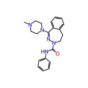 CN1CCN(C2=NN(C(=O)Nc3ccccc3)CCc3ccccc32)CC1